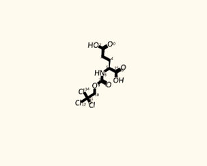 O=C(O)CC[C@H](NC(=O)OCC(Cl)(Cl)Cl)C(=O)O